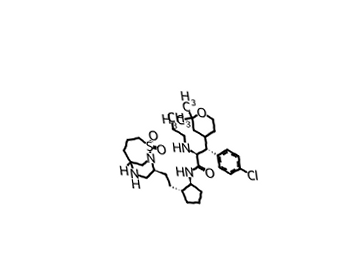 CCCN[C@H](C(=O)N[C@H]1CCC[C@@H]1CC[C@H]1CN[C@@H]2CCCS(=O)(=O)N1C2)[C@@H](c1ccc(Cl)cc1)C1CCOC(C)(C)C1